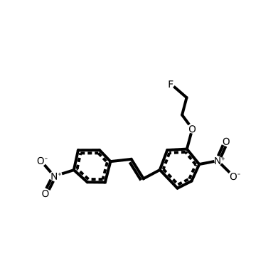 O=[N+]([O-])c1ccc(C=Cc2ccc([N+](=O)[O-])c(OCCF)c2)cc1